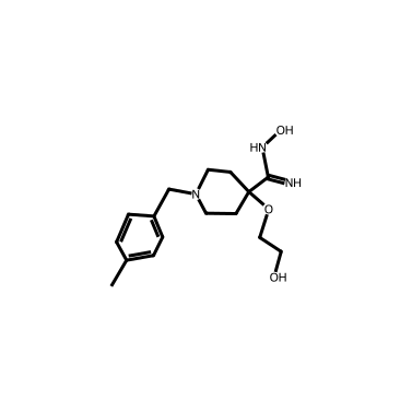 Cc1ccc(CN2CCC(OCCO)(C(=N)NO)CC2)cc1